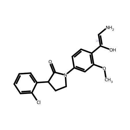 COc1cc(N2CCC(c3ccccc3Cl)C2=O)ccc1/C(O)=C/N